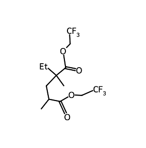 CCC(C)(CC(C)C(=O)OCC(F)(F)F)C(=O)OCC(F)(F)F